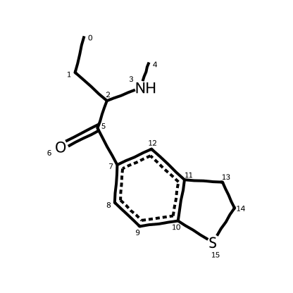 CCC(NC)C(=O)c1ccc2c(c1)CCS2